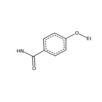 CCOc1ccc(C([NH])=O)cc1